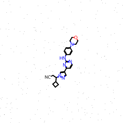 N#CCC(C1CCC1)n1cc(-c2ccnc(Nc3ccc(N4CCOCC4)cc3)n2)cn1